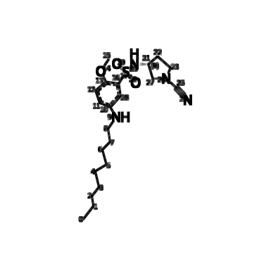 CCCCCCCCCNc1ccc(OC)c(S(=O)(=O)N[C@@H]2CCN(C#N)C2)c1